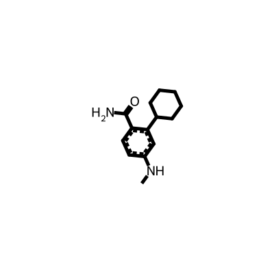 CNc1ccc(C(N)=O)c(C2CCCCC2)c1